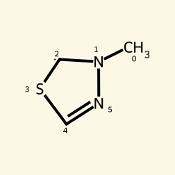 CN1[CH]SC=N1